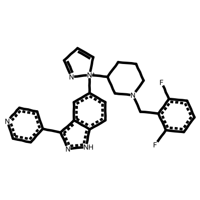 Fc1cccc(F)c1CN1CCCC([N+]2(c3ccc4[nH]nc(-c5ccncc5)c4c3)C=CC=N2)C1